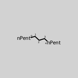 [CH2]CCCCC[CH]CCCCCC